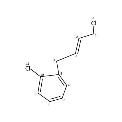 ClCC=CCc1ccccc1Cl